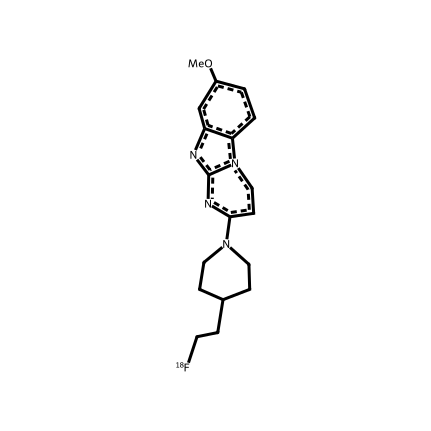 COc1ccc2c(c1)nc1nc(N3CCC(CC[18F])CC3)ccn12